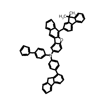 CC1(C)c2ccccc2-c2ccc(-c3c4ccccc4cc4c3oc3ccc(N(c5ccc(-c6ccccc6)cc5)c5ccc(-c6cccc7c6Cc6ccccc6-7)cc5)cc34)cc21